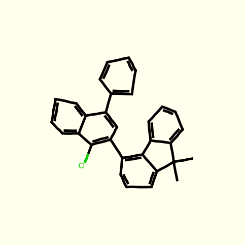 CC1(C)c2ccccc2-c2c(-c3cc(-c4ccccc4)c4ccccc4c3Cl)cccc21